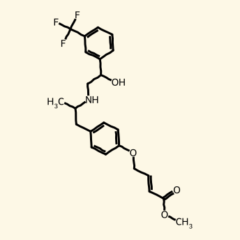 COC(=O)C=CCOc1ccc(CC(C)NCC(O)c2cccc(C(F)(F)F)c2)cc1